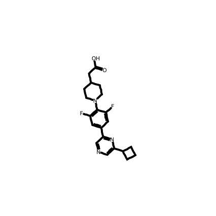 O=C(O)CC1CCN(c2c(F)cc(-c3cncc(C4CCC4)n3)cc2F)CC1